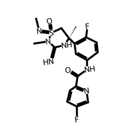 CN=S1(=O)C[C@@](C)(c2cc(NC(=O)c3ccc(F)cn3)ccc2F)NC(=N)N1C